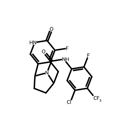 O=C(Nc1cc(Cl)c(C(F)(F)F)cc1F)N1C2CCC1c1c[nH]c(=O)c(F)c1C2